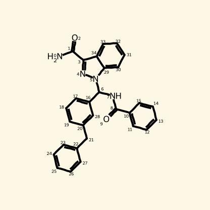 NC(=O)c1nn(C(NC(=O)c2ccccc2)c2cccc(Cc3ccccc3)c2)c2ccccc12